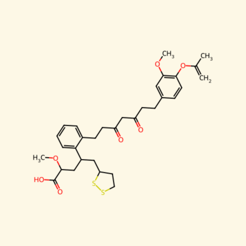 C=C(C)Oc1ccc(CCC(=O)CC(=O)CCc2ccccc2C(CC2CCSS2)CC(OC)C(=O)O)cc1OC